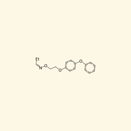 CC/C=N\OCCOc1ccc(Oc2ccccc2)cc1